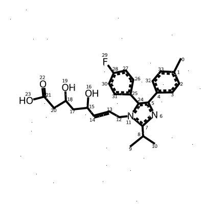 Cc1ccc(-c2nc(C(C)C)n(CC=CC(O)CC(O)CC(=O)O)c2-c2ccc(F)cc2)cc1